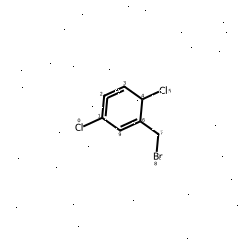 ClC1=C=CC(Cl)C(CBr)=C1